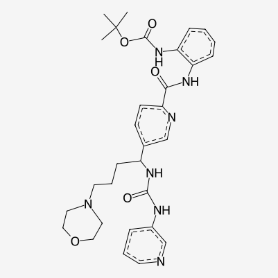 CC(C)(C)OC(=O)Nc1ccccc1NC(=O)c1ccc(C(CCCN2CCOCC2)NC(=O)Nc2cccnc2)cn1